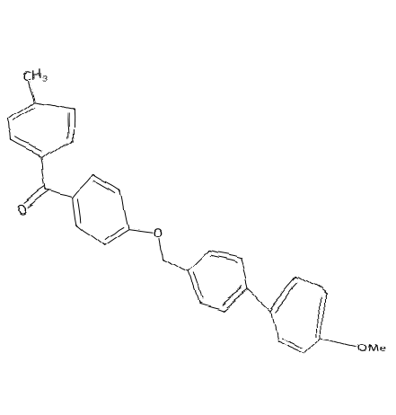 COc1ccc(-c2ccc(COc3ccc(C(=O)c4ccc(C)cc4)cc3)cc2)cc1